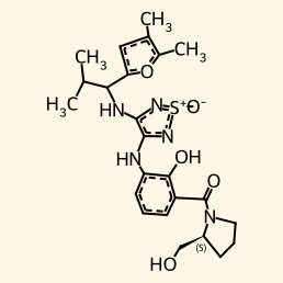 Cc1cc(C(Nc2n[s+]([O-])nc2Nc2cccc(C(=O)N3CCC[C@H]3CO)c2O)C(C)C)oc1C